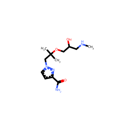 CNCC(O)COC(C)(C)Cn1ccc(C(N)=O)n1